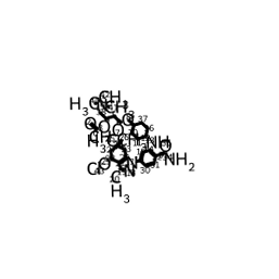 CC(=O)OC(CC(=O)OC1CCC(Nc2cc(-n3nc(C)c4c3CC(C)(C)CC4=O)ccc2C(N)=O)CC1)C[N+](C)(C)C.[Cl-]